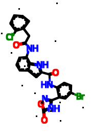 O=C(Cc1ccccc1Cl)Nc1cccc2cc(C(=O)Nc3ccc(Br)cc3-c3noc(=O)[nH]3)[nH]c12